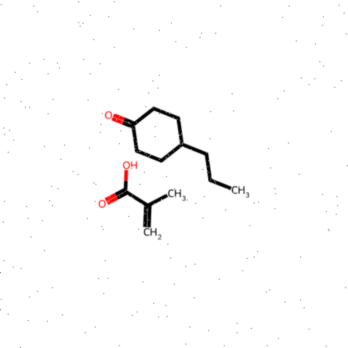 C=C(C)C(=O)O.CCCC1CCC(=O)CC1